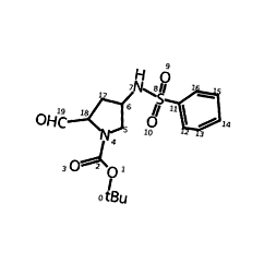 CC(C)(C)OC(=O)N1CC(NS(=O)(=O)c2ccccc2)CC1C=O